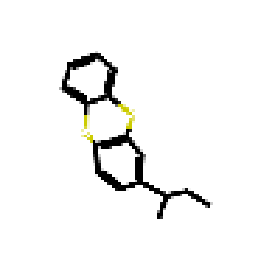 CCC(C)c1ccc2c(c1)Sc1ccccc1S2